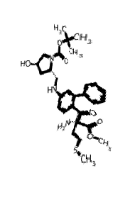 COC(=O)[C@@](N)(CCSC)C(=O)c1ccc(NC[C@@H]2C[C@@H](O)CN2C(=O)OC(C)(C)C)cc1-c1ccccc1